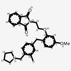 COc1c[c]c(Cc2ccc(CN3CCCC3)c(C)c2)c(OCCN2C(=O)c3ccccc3C2=O)c1